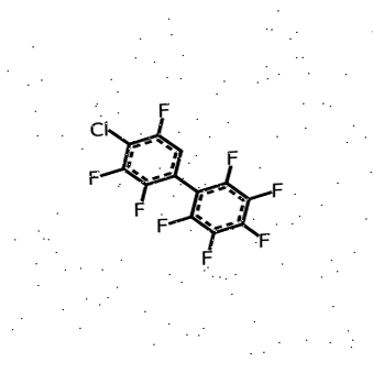 Fc1cc(-c2c(F)c(F)c(F)c(F)c2F)c(F)c(F)c1Cl